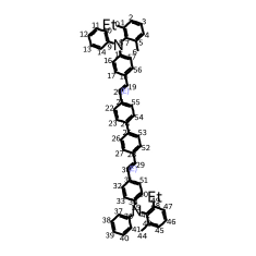 CCc1cccc(C)c1N(c1ccccc1)c1ccc(/C=C/c2ccc(-c3ccc(/C=C/c4ccc(N(c5ccccc5)c5c(C)cccc5CC)cc4)cc3)cc2)cc1